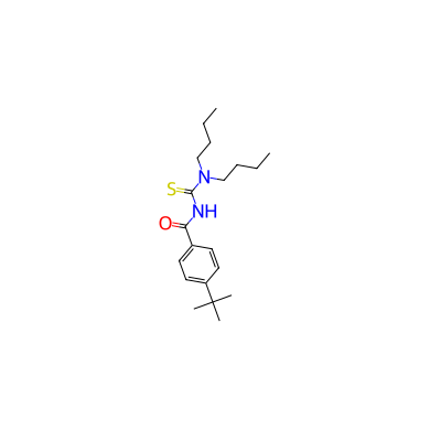 CCCCN(CCCC)C(=S)NC(=O)c1ccc(C(C)(C)C)cc1